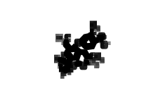 CCCc1cc(C(OCOC)(C(F)(F)F)C(F)(F)F)cc(CC)c1Oc1ccc([N+](=O)[O-])c(C)c1